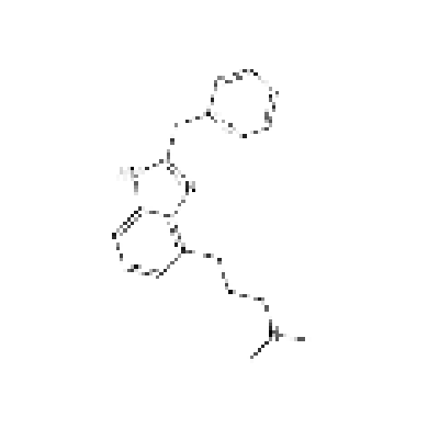 CN(C)CCCc1cccc2[nH]c(Cc3ccccc3)nc12